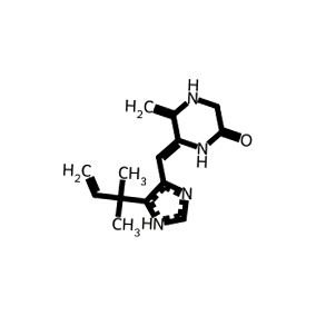 C=CC(C)(C)c1[nH]cnc1/C=C1\NC(=O)CNC1=C